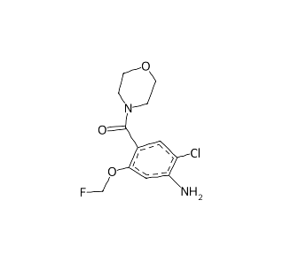 Nc1cc(OCF)c(C(=O)N2CCOCC2)cc1Cl